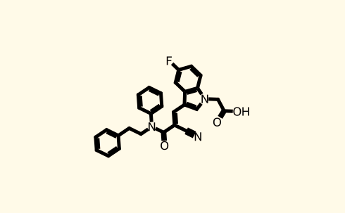 N#C/C(=C\c1cn(CC(=O)O)c2ccc(F)cc12)C(=O)N(CCc1ccccc1)c1ccccc1